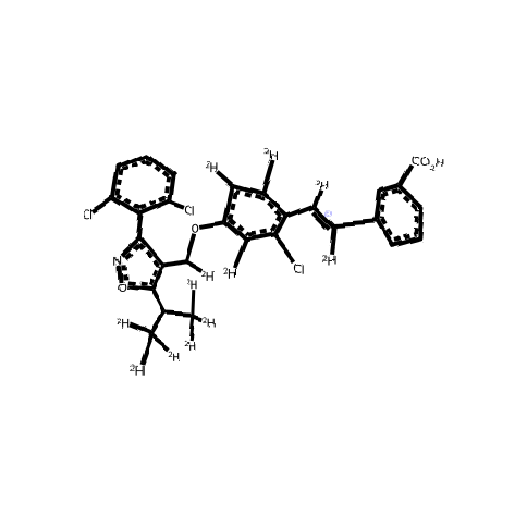 [2H]/C(=C(/[2H])c1c([2H])c([2H])c(OC([2H])c2c(-c3c(Cl)cccc3Cl)noc2C(C([2H])([2H])[2H])C([2H])([2H])[2H])c([2H])c1Cl)c1cccc(C(=O)O)c1